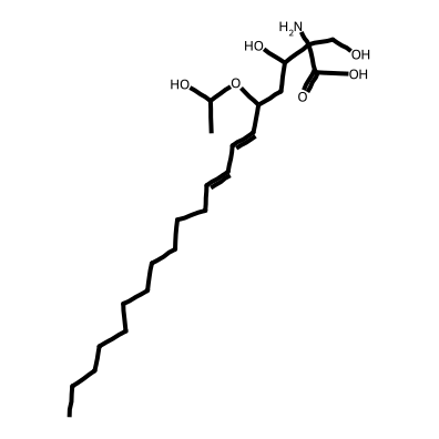 CCCCCCCCCCC/C=C/C=C/C(CC(O)C(N)(CO)C(=O)O)OC(C)O